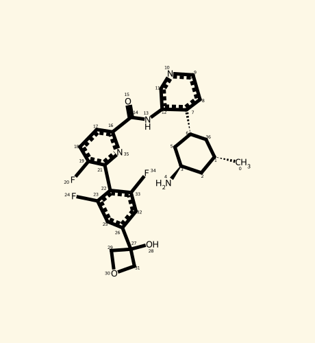 C[C@@H]1C[C@@H](N)C[C@H](c2ccncc2NC(=O)c2ccc(F)c(-c3c(F)cc(C4(O)COC4)cc3F)n2)C1